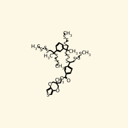 CSSSCC(SSSC(C)(CSSSC)c1cccc(C(C)(CSSSC)SSSC)c1)c1ccc(C(=O)OCC2(C)COc3cscc3OC2)cc1